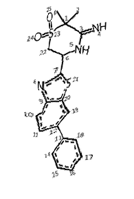 CC1(C)C(=N)NC(c2nc3ccc(-c4ccccc4)cc3s2)CS1(=O)=O